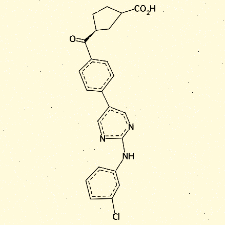 O=C(O)C1CC[C@H](C(=O)c2ccc(-c3cnc(Nc4cccc(Cl)c4)nc3)cc2)C1